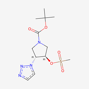 CC(C)(C)OC(=O)N1C[C@@H](n2ccnn2)[C@H](OS(C)(=O)=O)C1